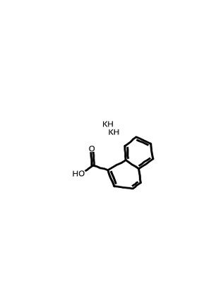 O=C(O)c1cccc2ccccc12.[KH].[KH]